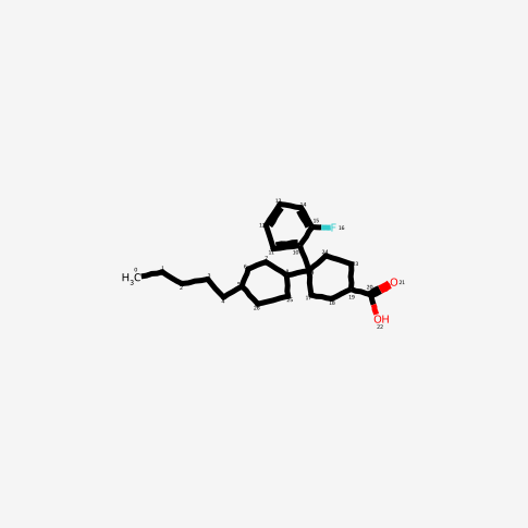 CCCCCC1CCC(C2(c3ccccc3F)CCC(C(=O)O)CC2)CC1